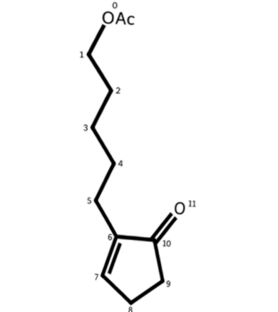 CC(=O)OCCCCCC1=CCCC1=O